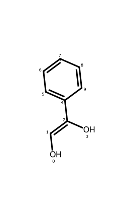 OC=C(O)c1cc[c]cc1